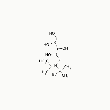 CCC(C)(C)N(CC(O)C(O)C(O)CO)C(C)C(=O)O